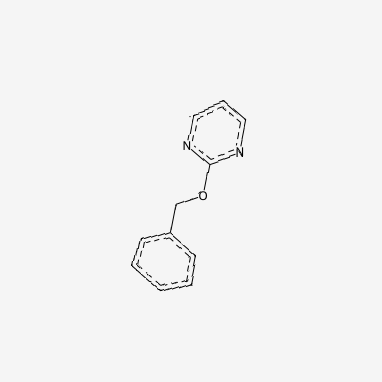 [c]1ccnc(OCc2ccccc2)n1